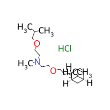 CC(C)COCCN(C)CCOCC[C@@H]1CC[C@H]2C[C@@H]1C2(C)C.Cl